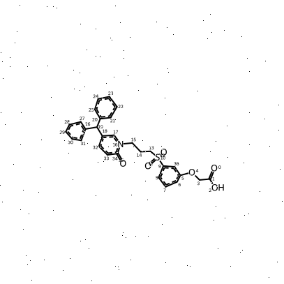 O=C(O)COc1cccc(S(=O)(=O)CCCn2cc(C(c3ccccc3)c3ccccc3)ccc2=O)c1